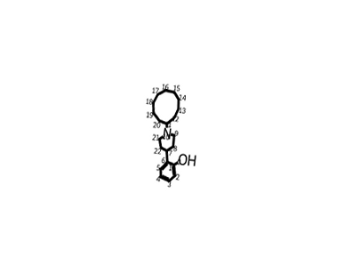 Oc1ccccc1C1CCN(C2CCCCCCCCC2)CC1